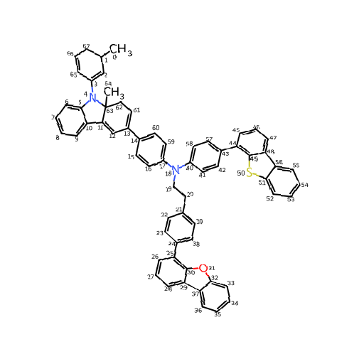 CC1C=C(N2c3ccccc3C3=CC(c4ccc(N(CCc5ccc(-c6cccc7c6oc6ccccc67)cc5)c5ccc(-c6cccc7c6sc6ccccc67)cc5)cc4)=CCC32C)C=CC1